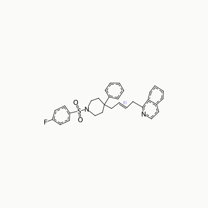 O=S(=O)(c1ccc(F)cc1)N1CCC(C/C=C/Cc2nccc3ccccc23)(c2ccccc2)CC1